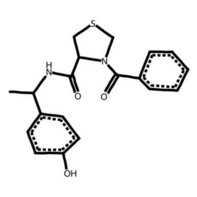 CC(NC(=O)C1CSCN1C(=O)c1ccccc1)c1ccc(O)cc1